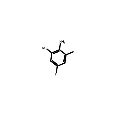 Cc1cc(F)cc(C#N)c1N